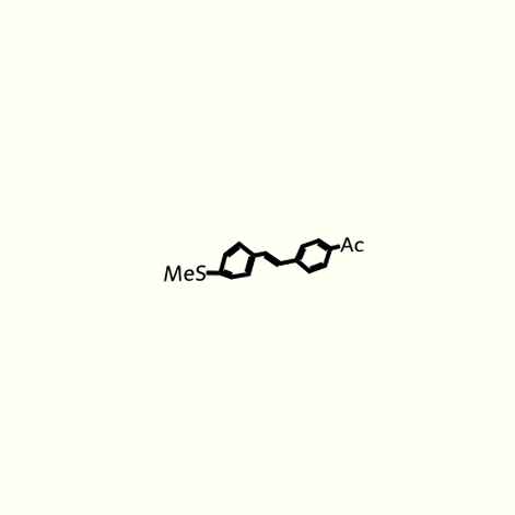 CSc1ccc(C=Cc2ccc(C(C)=O)cc2)cc1